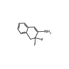 NC1=Cc2ccccc2CC1(F)F